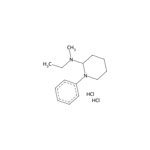 CCN(C)C1CCCCN1c1ccccc1.Cl.Cl